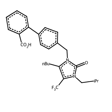 CCCCc1c(C(F)(F)F)n(CC(C)C)c(=O)n1Cc1ccc(-c2ccccc2C(=O)O)cc1